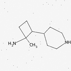 CC1(N)CCC1C1CCNCC1